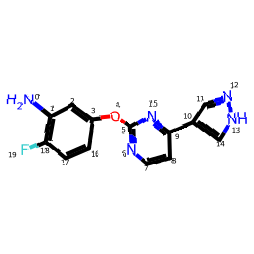 Nc1cc(Oc2nccc(-c3cn[nH]c3)n2)ccc1F